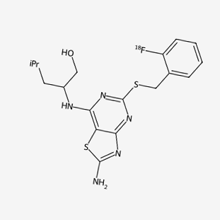 CC(C)CC(CO)Nc1nc(SCc2ccccc2[18F])nc2nc(N)sc12